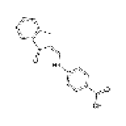 O=C(O)c1ccc(NC=C2Cc3ccccc3C2=O)cc1